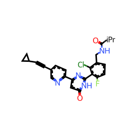 CC(C)C(=O)NCc1ccc(F)c(-c2nc(-c3ccc(C#CC4CC4)cn3)cc(=O)[nH]2)c1Cl